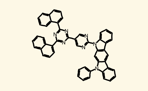 c1ccc(-n2c3ccccc3c3cc4c5ccccc5n(-c5ncc(-c6nc(-c7cccc8ccccc78)nc(-c7cccc8ccccc78)n6)cn5)c4cc32)cc1